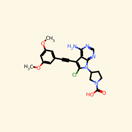 COc1cc(C#Cc2c(Cl)n(C3CCN(C(=O)O)C3)c3ncnc(N)c23)cc(OC)c1